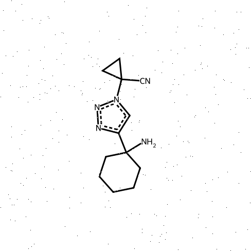 N#CC1(n2cc(C3(N)CCCCC3)nn2)CC1